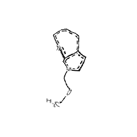 COCn1ccc2cccnc21